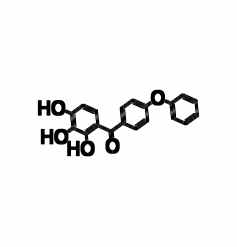 O=C(c1ccc(Oc2ccccc2)cc1)c1ccc(O)c(O)c1O